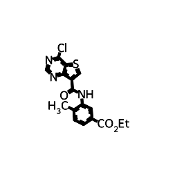 CCOC(=O)c1ccc(C)c(NC(=O)c2csc3c(Cl)ncnc23)c1